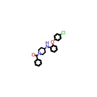 O=C(c1ccccc1)N1CCC(Nc2ccccc2Oc2ccc(Cl)cc2)CC1